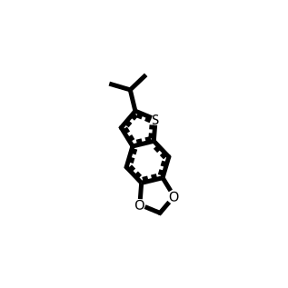 CC(C)c1cc2cc3c(cc2s1)OCO3